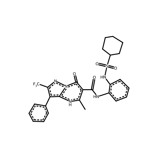 Cc1[nH]c2c(-c3ccccc3)c(C(F)(F)F)nn2c(=O)c1C(=O)Nc1ccccc1NS(=O)(=O)C1CCCCC1